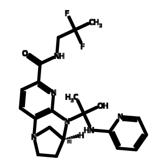 CC(F)(F)CNC(=O)c1ccc2c(n1)N(C(C)(O)Nc1ccccn1)[C@H]1CCN2C1